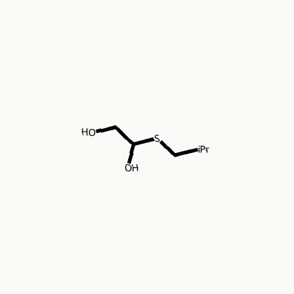 CC(C)CSC(O)CO